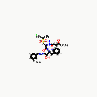 CCCC(CCC)S(=O)(=O)C[C@@H](NC(=O)CCC(=O)OC)C(=O)N[C@@H](Cc1ccccc1)[C@H](O)CNCc1cccc(OC)c1.Cl